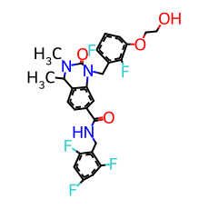 CC1c2ccc(C(=O)NCc3c(F)cc(F)cc3F)cc2N(Cc2c(F)ccc(OCCO)c2F)C(=O)N1C